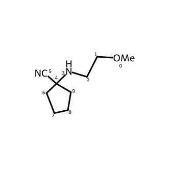 COCCNC1(C#N)CCCC1